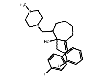 CN1CCN(CC2CCCC/C(=C/c3ccc(F)cc3)C2(O)Cc2ccccc2Cl)CC1